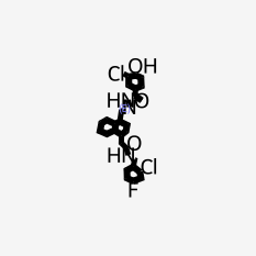 O=C(Cc1ccc(/C=N/NC(=O)c2ccc(O)c(Cl)c2)c2ccccc12)NCc1ccc(F)cc1Cl